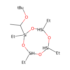 CC[SiH]1O[SiH](CC)O[Si](CC)(C(C)OC(C)(C)C)O[SiH](CC)O1